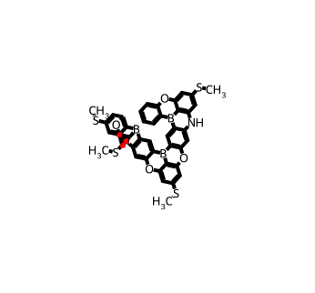 CSc1cc2c3c(c1)Oc1ccccc1B3c1cc3c(cc1N2)Oc1cc(SC)cc2c1B3c1cc3c(cc1O2)N(SC)c1cc(SC)cc2c1B3c1ccccc1O2